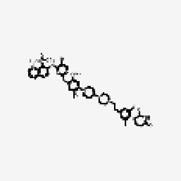 CCc1cc(Nc2ncc(Br)c(Nc3ccc4nccnc4c3P(C)(C)=O)n2)c(OC)cc1N1CCC(N2CCN(CCc3cc(F)c([C@H]4CCC(=O)NC4=O)c(F)c3)CC2)CC1